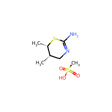 CS(=O)(=O)O.C[C@@H]1SC(N)=NC[C@@H]1C